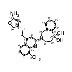 Cc1cccc2c(CC[C@@H]3COC(N)=N3)cc(N3CCS(O)(O)c4ccccc4C3)nc12